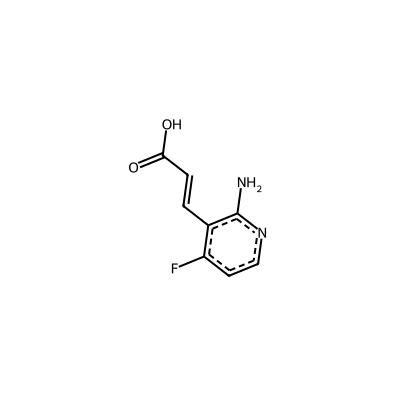 Nc1nccc(F)c1C=CC(=O)O